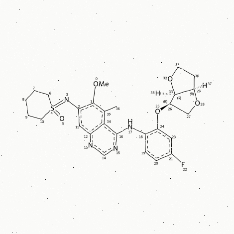 COc1c(N=S2(=O)CCCCC2)cc2ncnc(Nc3ccc(F)cc3O[C@@H]3CO[C@@H]4CCO[C@@H]43)c2c1C